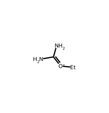 CC[O+]=C(N)N